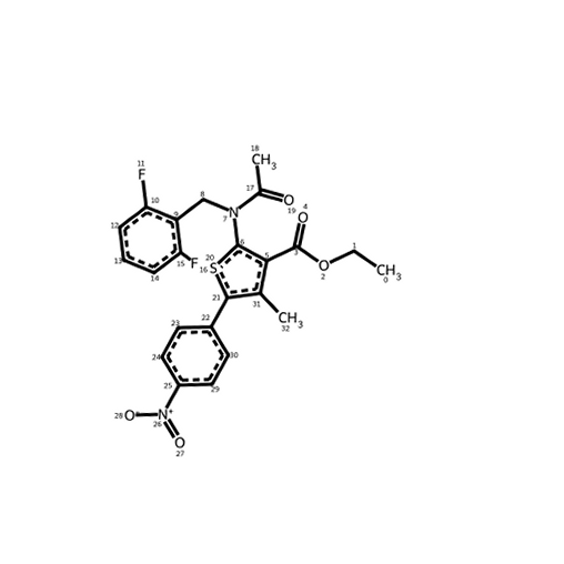 CCOC(=O)c1c(N(Cc2c(F)cccc2F)C(C)=O)sc(-c2ccc([N+](=O)[O-])cc2)c1C